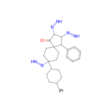 CC(C)C1CCC(C2(N=N)CCC3(CC2)C(=O)C(N=N)C(N=N)C3c2ccccc2)CC1